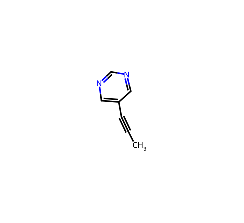 CC#Cc1cncnc1